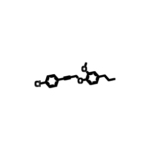 CCCc1ccc(OCC#Cc2ccc(Cl)cc2)c(OC)c1